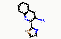 Nc1cc2ccccc2nc1-c1nccs1